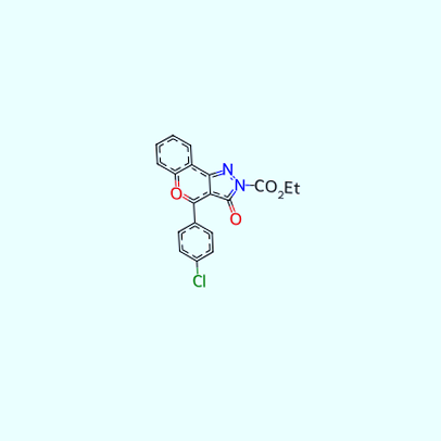 CCOC(=O)n1nc2c3ccccc3oc(-c3ccc(Cl)cc3)c-2c1=O